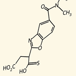 CN(C)C(=O)c1ccc2oc(C(CC(=O)O)C(O)=S)nc2c1